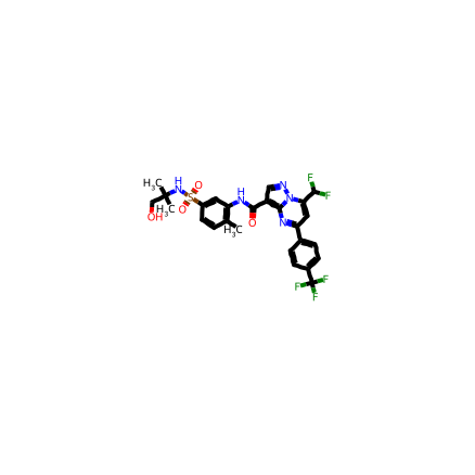 Cc1ccc(S(=O)(=O)NC(C)(C)CO)cc1NC(=O)c1cnn2c(C(F)F)cc(-c3ccc(C(F)(F)F)cc3)nc12